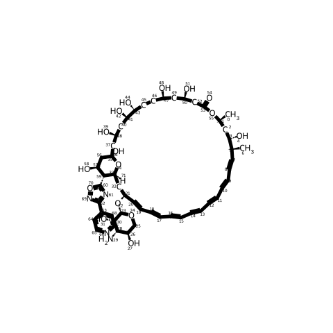 C[C@H]1C[C@H](O)[C@@H](C)/C=C/C=C/C=C/C=C/C=C/C=C/C=C/[C@H](O[C@@H]2OC[C@@H](O)[C@H](N)[C@@H]2O)C[C@@H]2O[C@](O)(C[C@@H](O)C[C@@H](O)[C@H](O)CC[C@@H](O)C[C@@H](O)CC(=O)O1)C[C@H](O)[C@H]2c1nc(-c2ccncc2)no1